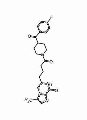 Cc1cnc2c(=O)[nH]c(CCCC(=O)N3CCC(C(=O)c4ccc(F)cc4)CC3)cn12